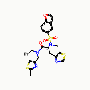 Cc1nc(CN(CC(C)C)C(=O)[C@H](Cc2cscn2)N(C)S(=O)(=O)c2ccc3occc3c2)cs1